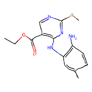 CCOC(=O)c1cnc(SC)nc1Nc1cc(C)ccc1N